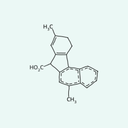 CC1=CC2=C(CC1)c1c(cc(C)c3ccccc13)C2C(=O)O